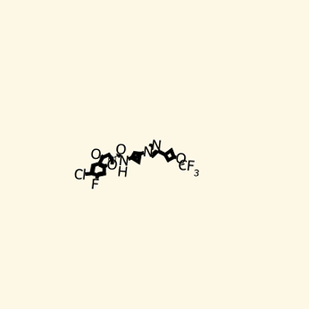 O=C1C[C@H](C(=O)NC23CC(n4cnc(C5CC(OC(F)(F)F)C5)c4)(C2)C3)Oc2cc(F)c(Cl)cc21